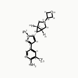 CC(C)n1nc(-c2cnc(N)c(C(F)(F)F)c2)cc1[C@@H]1[C@@H]2CN(C3COC3)C[C@@H]21